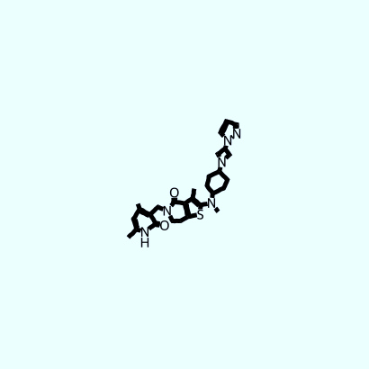 Cc1cc(C)c(CN2CCc3sc(N(C)C4CCC(N5CC(n6cccn6)C5)CC4)c(C)c3C2=O)c(=O)[nH]1